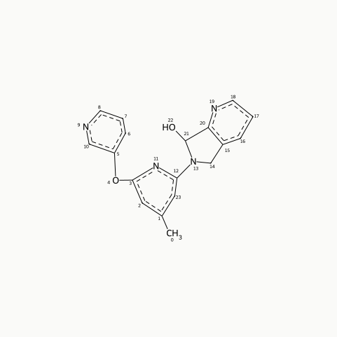 Cc1cc(Oc2cccnc2)nc(N2Cc3cccnc3C2O)c1